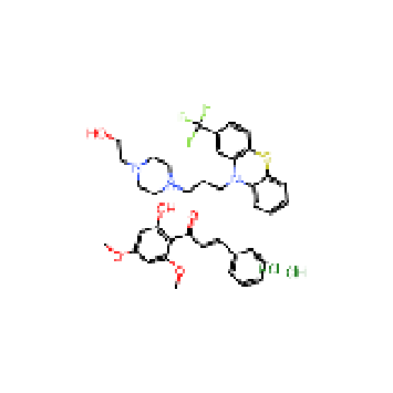 COc1cc(O)c(C(=O)C=Cc2ccccc2)c(OC)c1.Cl.Cl.OCCN1CCN(CCCN2c3ccccc3Sc3ccc(C(F)(F)F)cc32)CC1